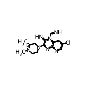 C[C@H]1CN(c2nc3ncc(Cl)cc3n(C=N)c2=N)CCN1C